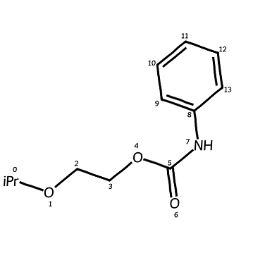 CC(C)OCCOC(=O)Nc1ccccc1